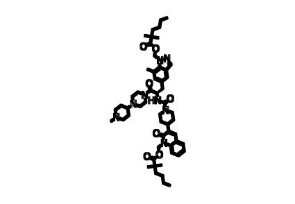 CCCCC(C)(C)C(=O)OCn1ncc2cc(C[C@@H](NC(=O)N3CCC(c4cc5ccccc5n(COC(=O)C(C)(C)CCCC)c4=O)CC3)C(=O)N3CCN(C4CCN(C)CC4)CC3)cc(C)c21